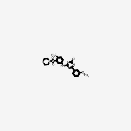 COc1cccc(-c2nc(Cl)nc(Nc3ccc(C)c(S(=O)(=O)N4CCOCC4)c3)n2)c1